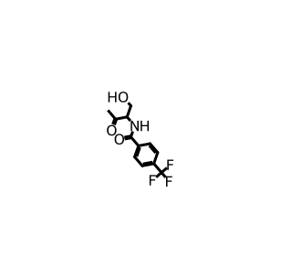 CC(=O)C(CO)NC(=O)c1ccc(C(F)(F)F)cc1